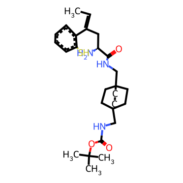 C/C=C(/C[C@H](N)C(=O)NCC12CCC(CNC(=O)OC(C)(C)C)(CC1)CC2)c1ccccc1S